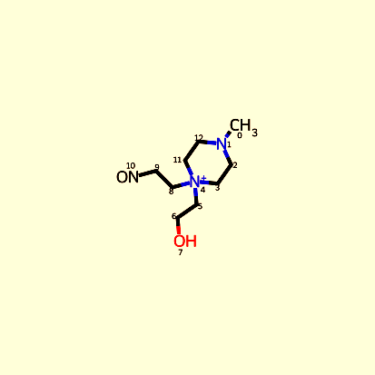 CN1CC[N+](CCO)(CCN=O)CC1